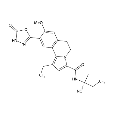 COc1cc2c(cc1-c1n[nH]c(=O)o1)-c1c(CC(F)(F)F)cc(C(=O)N[C@](C)(C#N)CC(F)(F)F)n1CC2